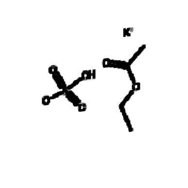 CCOC(C)=O.O=S(=O)([O-])O.[K+]